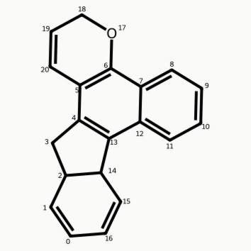 C1=CC2Cc3c4c(c5ccccc5c3C2C=C1)OCC=C4